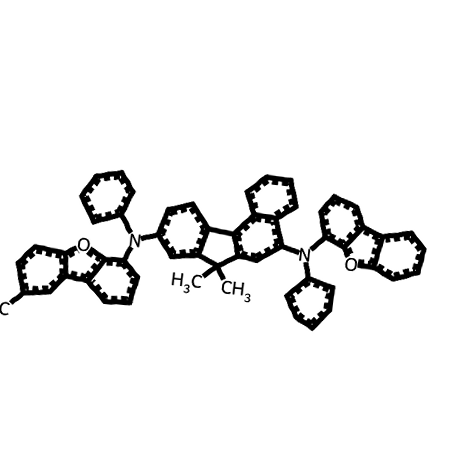 Cc1ccc2oc3c(N(c4ccccc4)c4ccc5c(c4)C(C)(C)c4cc(N(c6ccccc6)c6cccc7c6oc6ccccc67)c6ccccc6c4-5)cccc3c2c1